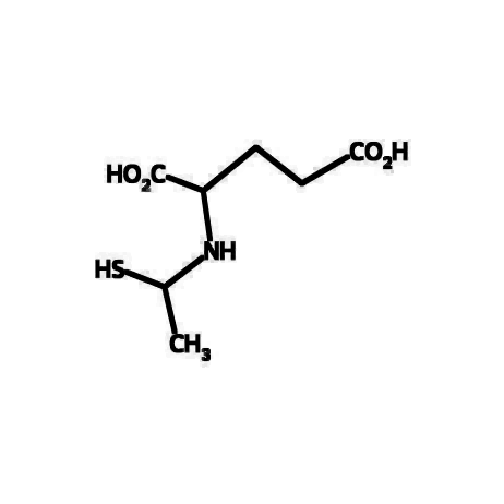 CC(S)NC(CCC(=O)O)C(=O)O